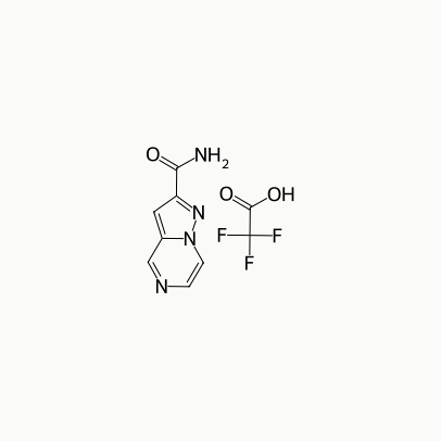 NC(=O)c1cc2cnccn2n1.O=C(O)C(F)(F)F